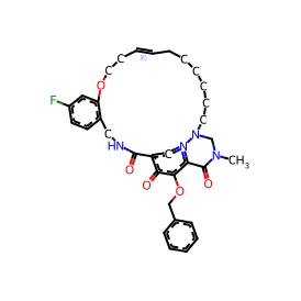 CN1CN2CCCCCC/C=C/CCOc3cc(F)ccc3CNC(=O)c3cn2c(c(OCc2ccccc2)c3=O)C1=O